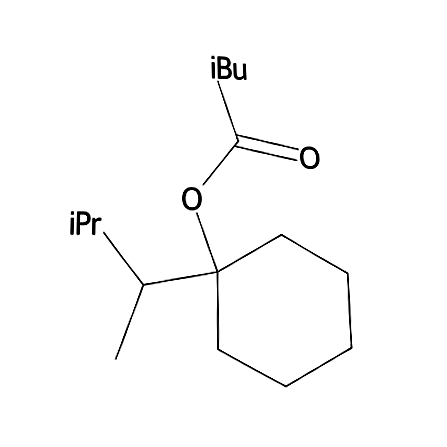 CCC(C)C(=O)OC1(C(C)C(C)C)CCCCC1